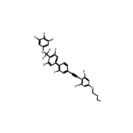 CCCCOc1cc(F)c(C#Cc2ccc(-c3cc(F)c(C(F)(F)Oc4cc(F)c(F)c(F)c4)c(F)c3)c(F)c2)c(F)c1